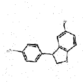 CCCc1ccc(C2CSc3ccc(Br)cc32)cc1